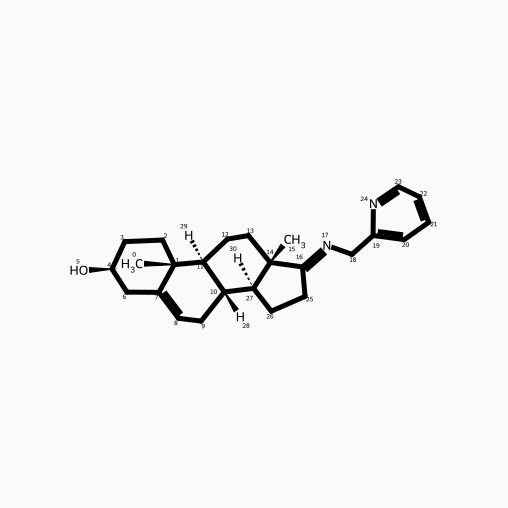 C[C@]12CC[C@H](O)CC1=CC[C@@H]1[C@@H]2CC[C@]2(C)/C(=N/Cc3ccccn3)CC[C@@H]12